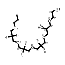 CCCOCC(F)(F)COCC(F)(F)COCC(F)(F)COCC(O)COCCO